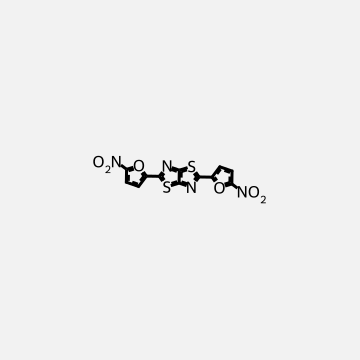 O=[N+]([O-])c1ccc(-c2nc3sc(-c4ccc([N+](=O)[O-])o4)nc3s2)o1